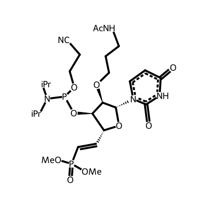 COP(=O)(/C=C/[C@H]1O[C@@H](n2ccc(=O)[nH]c2=O)[C@H](OCCCNC(C)=O)[C@@H]1OP(OCCC#N)N(C(C)C)C(C)C)OC